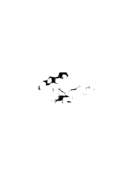 CC(C)NCCCn1c(Sc2cc3c(cc2-c2ccco2)CCCO3)nc2c(N)ncnc21